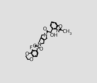 Cc1nc2c(C(O)C(=O)N3CC4=C(C3)CN(S(=O)(=O)c3ccc5c(c3F)OCCO5)C4)cccc2o1